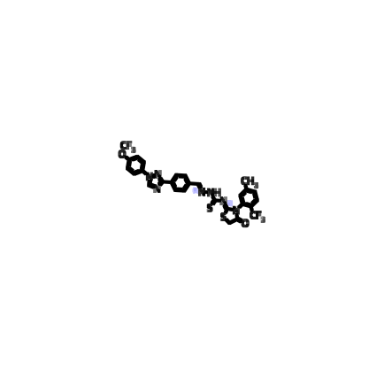 Cc1ccc(C(F)(F)F)c(N2C(=O)CS/C2=N\C(=S)N/N=C/c2ccc(-c3ncn(-c4ccc(OC(F)(F)F)cc4)n3)cc2)c1